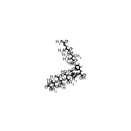 CC(C)CC(N)C(=O)O.CCC(C)C(N)C(=O)O.NC(=O)CC(N)C(=O)O.NC(=O)CCC(N)C(=O)O.NC(CS)C(=O)O.NC(Cc1ccc(O)cc1)C(=O)O.NCC(N)=O.O=C(O)[C@@H]1CCCN1